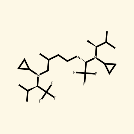 CC(CCC[C@H](N(C1CC1)[C@@H](C)C(C)C)C(F)(F)F)CN(C1CC1)[C@H](C(C)C)C(F)(F)F